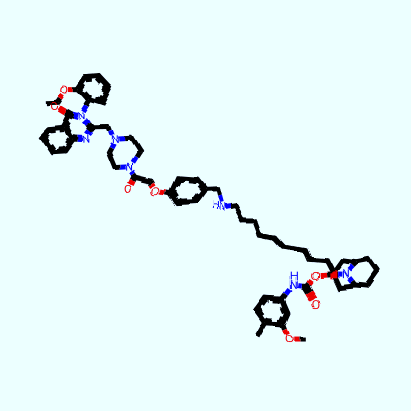 CCOc1ccccc1-n1c(CN2CCN(C(=O)COc3ccc(CNCCCCCCCCCCN4C5CCCC4CC(OC(=O)Nc4ccc(C)c(OC)c4)C5)cc3)CC2)nc2ccccc2c1=O